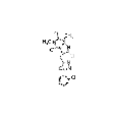 Cn1c(=O)c2c(nc(Cl)n2Cc2nnc(-c3ccccc3Cl)o2)n(C)c1=O